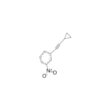 O=[N+]([O-])c1cccc(C#CC2CC2)c1